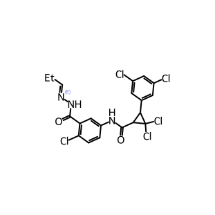 CC/C=N/NC(=O)c1cc(NC(=O)C2C(c3cc(Cl)cc(Cl)c3)C2(Cl)Cl)ccc1Cl